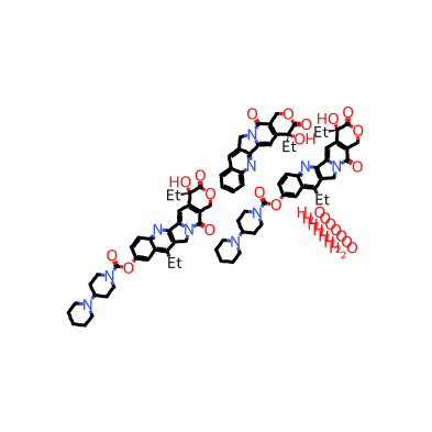 CC[C@@]1(O)C(=O)OCc2c1cc1n(c2=O)Cc2cc3ccccc3nc2-1.CCc1c2c(nc3ccc(OC(=O)N4CCC(N5CCCCC5)CC4)cc13)-c1cc3c(c(=O)n1C2)COC(=O)[C@]3(O)CC.CCc1c2c(nc3ccc(OC(=O)N4CCC(N5CCCCC5)CC4)cc13)-c1cc3c(c(=O)n1C2)COC(=O)[C@]3(O)CC.O.O.O.O.O.O.O